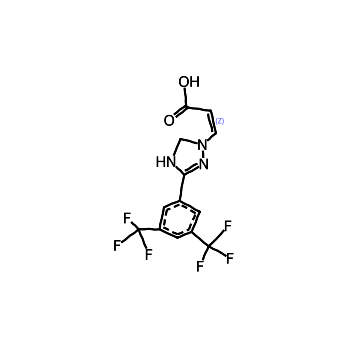 O=C(O)/C=C\N1CNC(c2cc(C(F)(F)F)cc(C(F)(F)F)c2)=N1